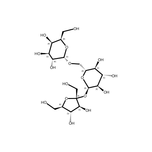 OC[C@H]1O[C@H](OC[C@H]2O[C@H](O[C@@]3(CO)O[C@H](CO)[C@@H](O)[C@@H]3O)[C@H](O)[C@@H](O)[C@@H]2O)[C@H](O)[C@@H](O)[C@H]1O